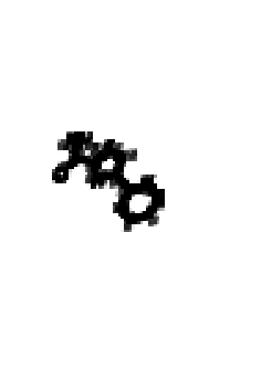 NC(=O)c1nc(-c2cccnn2)cs1